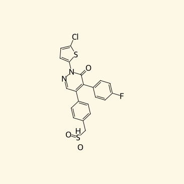 O=c1c(-c2ccc(F)cc2)c(-c2ccc(C[SH](=O)=O)cc2)cnn1-c1ccc(Cl)s1